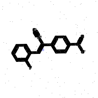 [C-]#[N+]/C(=C\c1ccccc1F)c1ccc([N+](=O)[O-])cc1